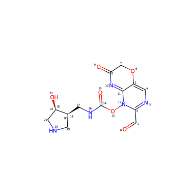 O=CC1=NC=C2OCC(=O)N=C2N1OC(=O)NC[C@H]1CNC[C@H]1O